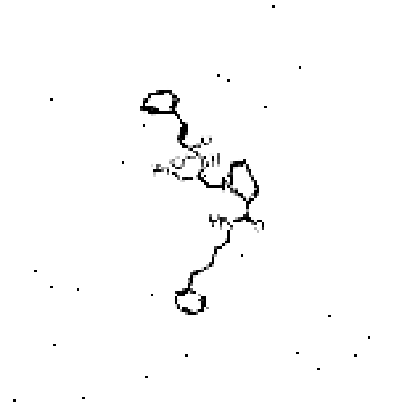 CC(C)C[C@H](CN1CCC[C@H]1C(=O)NCCCCc1ccccc1)NS(=O)(=O)C=Cc1ccccc1